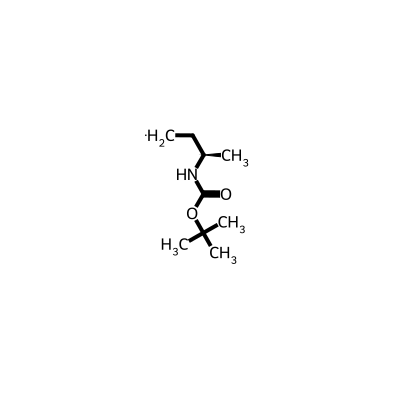 [CH2]C[C@@H](C)NC(=O)OC(C)(C)C